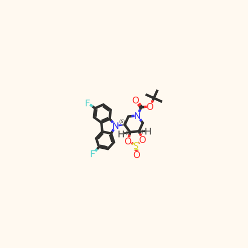 CC(C)(C)OC(=O)N1C[C@@H]2OS(=O)O[C@@H]2[C@@H](n2c3ccc(F)cc3c3cc(F)ccc32)C1